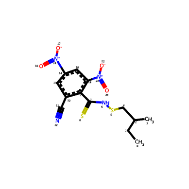 CCC(C)CSNC(=S)c1c(C#N)cc([N+](=O)[O-])cc1[N+](=O)[O-]